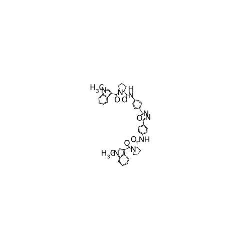 Cn1cc(C(=O)N2CCC[C@H]2C(=O)Nc2ccc(-c3nnc(-c4ccc(NC(=O)[C@@H]5CCCN5C(=O)c5cn(C)c6ccccc56)cc4)o3)cc2)c2ccccc21